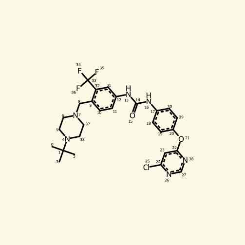 CC(C)(C)N1CCN(Cc2ccc(NC(=O)Nc3ccc(Oc4cc(Cl)ncn4)cc3)cc2C(F)(F)F)CC1